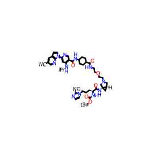 CC(C)Nc1cc(-n2ccc3cc(C#N)cnc32)ncc1C(=O)NC1CCC(C(=O)NCCOCCN2C[C@H]3C[C@@]3(NC(=O)[C@H](CCCn3ccnc3[N+](=O)[O-])NC(=O)OC(C)(C)C)C2)CC1